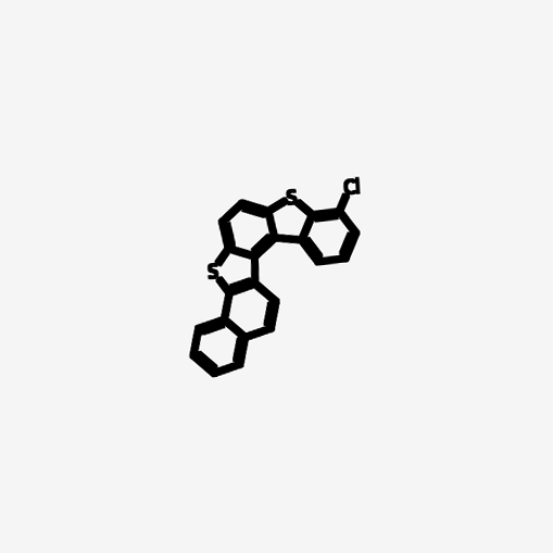 Clc1cccc2c1sc1ccc3sc4c5ccccc5ccc4c3c12